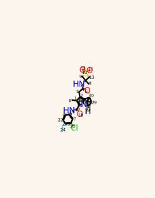 Cc1c(CC(=O)NC2(C)CS(=O)(=O)C2)c2n(c1C(=O)Nc1ccc(F)c(Cl)c1)[C@@H]1C3C2[C@@H]31